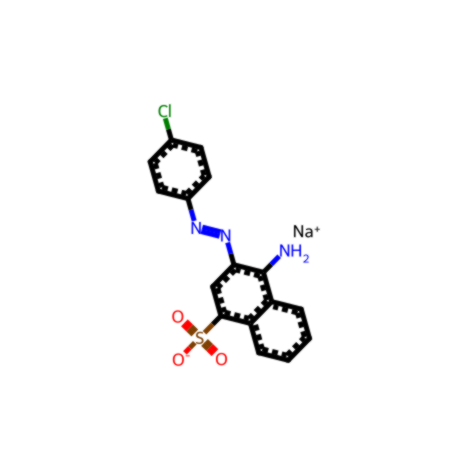 Nc1c(N=Nc2ccc(Cl)cc2)cc(S(=O)(=O)[O-])c2ccccc12.[Na+]